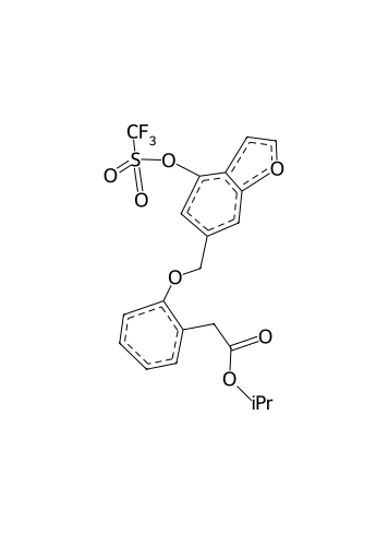 CC(C)OC(=O)Cc1ccccc1OCc1cc(OS(=O)(=O)C(F)(F)F)c2ccoc2c1